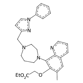 CCOC(=O)COc1c(C)cc2cccnc2c1N1CCCN(Cc2ccn(-c3ccccc3)n2)CC1